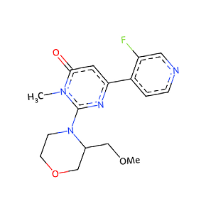 COCC1COCCN1c1nc(-c2ccncc2F)cc(=O)n1C